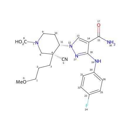 COCCC[C@@]1(C#N)CN(C(=O)O)CC[C@@H]1n1cc(C(N)=O)c(Nc2ccc(F)cc2)n1